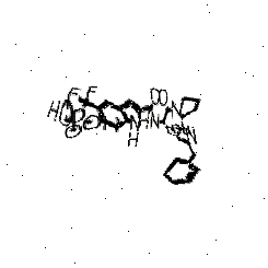 CC(C)(C)C(NC(=O)c1cc2cc(C(F)(F)P(=O)(O)O)ccc2[nH]1)C(=O)N1CCC[C@H]1c1nc(Cc2ccccc2)cs1